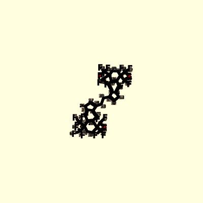 FC(F)(F)C1(C(F)(F)F)CCC(C(F)(F)F)(C(F)(F)F)c2cc3c(cc21)CC=C3CCC1=CCc2cc3c(cc21)C(C(F)(F)F)(C(F)(F)F)CCC3(C(F)(F)F)C(F)(F)F